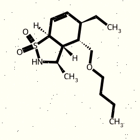 CCCCOC[C@@H]1[C@@H]2[C@@H](C)NS(=O)(=O)[C@H]2C=C[C@H]1CC